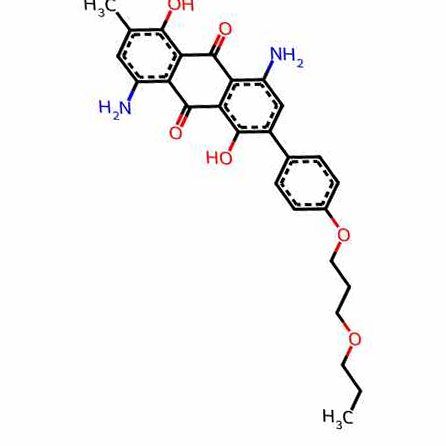 CCCOCCCOc1ccc(-c2cc(N)c3c(c2O)C(=O)c2c(N)cc(C)c(O)c2C3=O)cc1